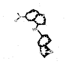 C[S@+]([O-])c1ccc2nccc(Nc3ccc4scnc4c3)c2c1